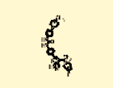 CN1CCN(c2ccc(NC(=O)Nc3ccc(-c4nc(C(N5CC6CC(F)C(C5)O6)C(F)(F)F)c5cn[nH]c5n4)cc3)cc2)CC1